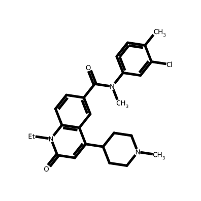 CCn1c(=O)cc(C2CCN(C)CC2)c2cc(C(=O)N(C)C3=C=C=C(C)C(Cl)=C3)ccc21